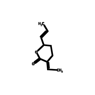 C/C=C/C1CC/C(=C\C)C(=O)O1